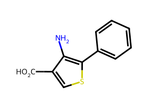 Nc1c(C(=O)O)csc1-c1ccccc1